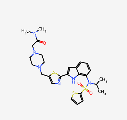 CC(C)N(c1cccc2cc(-c3ncc(CN4CCN(CC(=O)N(C)C)CC4)s3)[nH]c12)S(=O)(=O)c1cccs1